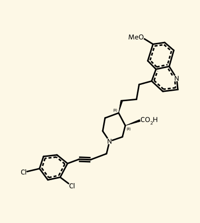 COc1ccc2nccc(CCC[C@@H]3CCN(CC#Cc4ccc(Cl)cc4Cl)C[C@@H]3C(=O)O)c2c1